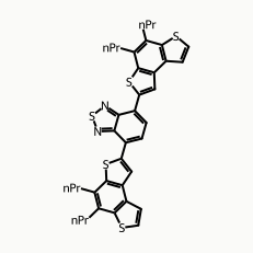 CCCc1c(CCC)c2sc(-c3ccc(-c4cc5c(s4)c(CCC)c(CCC)c4sccc45)c4nsnc34)cc2c2ccsc12